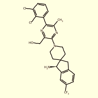 Cc1nc(N2CCC3(CC2)Cc2ccc(C(F)(F)F)cc2[C@H]3N)c(CO)nc1-c1cccc(Cl)c1Cl